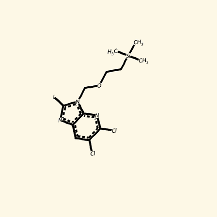 C[Si](C)(C)CCOCn1c(I)nc2cc(Cl)c(Cl)nc21